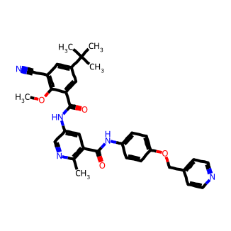 COc1c(C#N)cc(C(C)(C)C)cc1C(=O)Nc1cnc(C)c(C(=O)Nc2ccc(OCc3ccncc3)cc2)c1